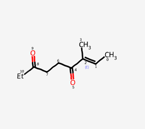 C/C=C(\C)C(=O)CCC(=O)CC